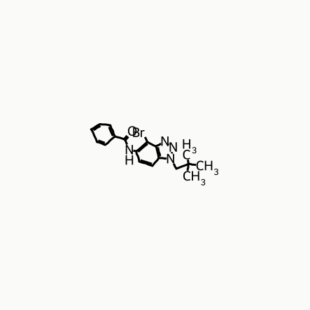 CC(C)(C)Cn1nnc2c(Br)c(NC(=O)c3ccccc3)ccc21